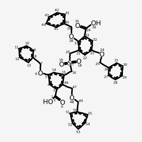 O=C(O)c1cc(OCc2ccccc2)cc(CS(=O)(=O)Cc2cc(OCc3ccccc3)cc(C(=O)O)c2OCc2ccccc2)c1COCc1ccccc1